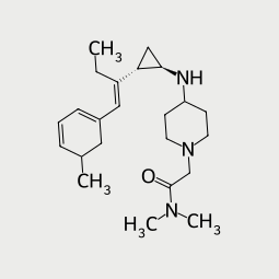 CC/C(=C\C1=CC=CC(C)C1)[C@@H]1C[C@H]1NC1CCN(CC(=O)N(C)C)CC1